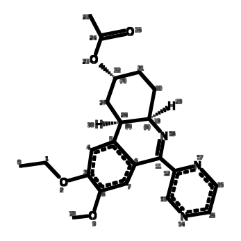 CCOc1cc2c(cc1OC)C(c1cnccn1)=N[C@@H]1CC[C@@H](OC(C)=O)C[C@H]21